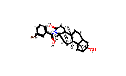 C[C@]12CC[C@H](O)CC1CC[C@@H]1[C@@H]2CC[C@@]2(C)[C@H]1CCC(=O)N2C(=O)c1cccc(Br)c1